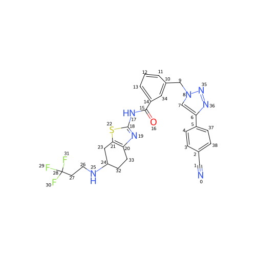 N#Cc1ccc(-c2cn(Cc3cccc(C(=O)Nc4nc5c(s4)CC(NCCC(F)(F)F)CC5)c3)nn2)cc1